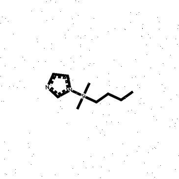 CCCC[Si](C)(C)n1ccnc1